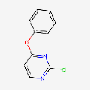 Clc1nccc(Oc2cc[c]cc2)n1